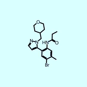 CCC(=O)Nc1cc(C)c(Br)cc1-c1ccnn1CC1CCOCC1